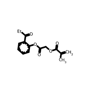 C=C(C)C(=O)OCC(=O)Oc1ccccc1C(=O)CC